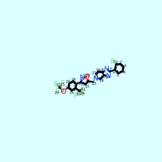 Fc1ccccc1-c1nc2ccn(Cc3cc(-c4ccc(OC(F)(F)F)cc4C(F)(F)F)no3)cc-2n1